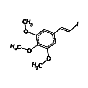 COc1cc(C=CI)cc(OC)c1OC